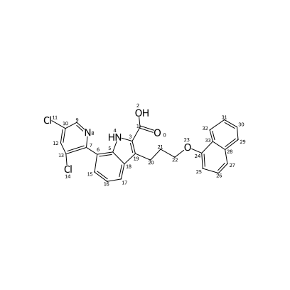 O=C(O)c1[nH]c2c(-c3ncc(Cl)cc3Cl)cccc2c1CCCOc1cccc2ccccc12